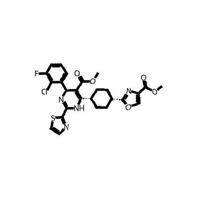 COC(=O)C1=C([C@H]2CC[C@@H](c3nc(C(=O)OC)co3)CC2)NC(c2nccs2)=NC1c1cccc(F)c1Cl